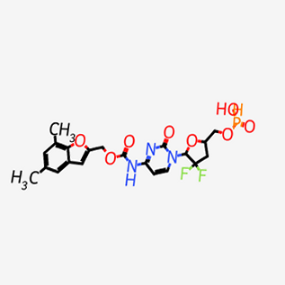 Cc1cc(C)c2oc(COC(=O)Nc3ccn(C4OC(CO[PH](=O)O)CC4(F)F)c(=O)n3)cc2c1